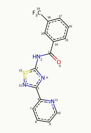 O=C(Nc1nc(-c2ccccn2)ns1)c1cccc(C(F)(F)F)c1